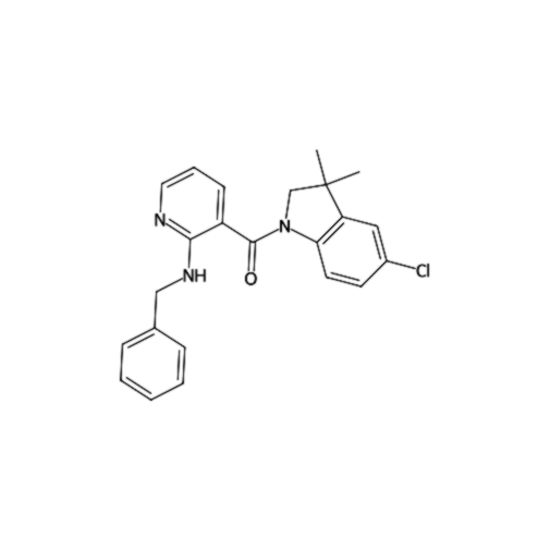 CC1(C)CN(C(=O)c2cccnc2NCc2ccccc2)c2ccc(Cl)cc21